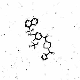 O=C(c1ccc(NS(=O)(=O)c2cccc3cccnc23)c(OC(F)(F)F)c1)N1CCN(C(=O)c2cscn2)CC1